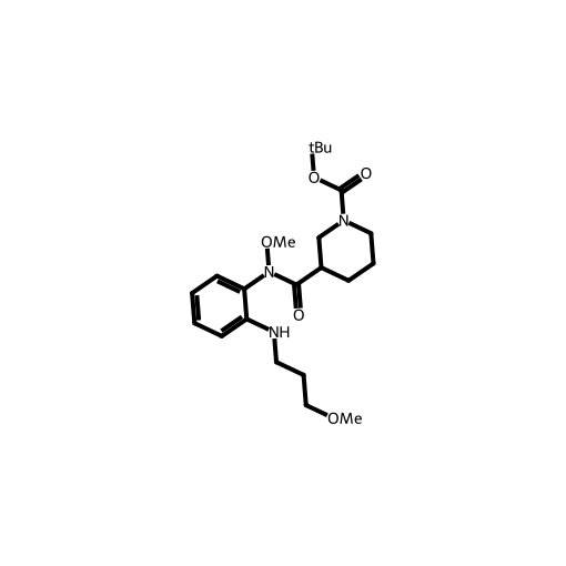 COCCCNc1ccccc1N(OC)C(=O)C1CCCN(C(=O)OC(C)(C)C)C1